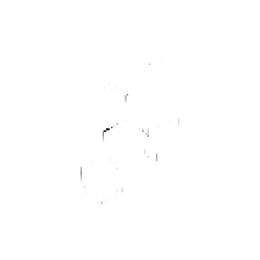 O=C(O[N+](=O)[O-])[C@H](Cc1ccccc1)N(O)O